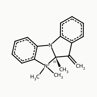 C=C1c2ccccc2N2c3ccccc3[N+](C)(C)[C@@]12C